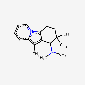 Cc1c2c(n3ccccc13)CCC(C)(C)C2N(C)C